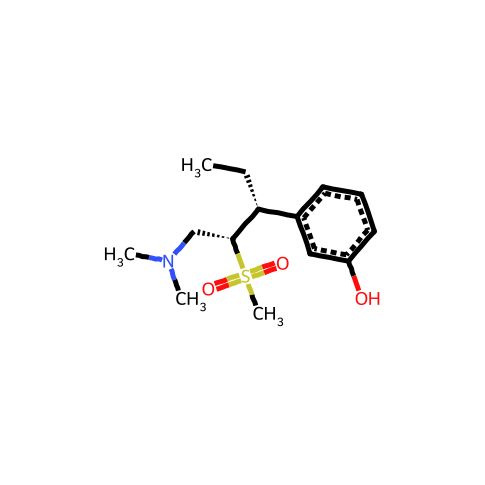 CC[C@H](c1cccc(O)c1)[C@@H](CN(C)C)S(C)(=O)=O